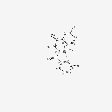 Cc1cccc(C(=O)N(C)N(C(=O)c2cccc(C)c2)C(C)(C)C)c1